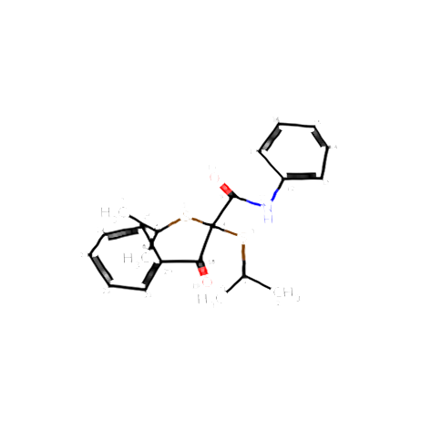 CC(C)SC(SC(C)C)(C(=O)Nc1ccccc1)C(=O)c1ccccc1